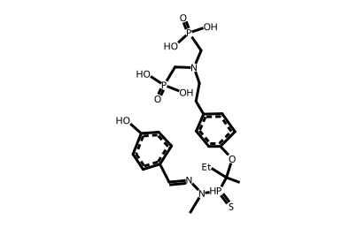 CCC(C)(Oc1ccc(CCN(CP(=O)(O)O)CP(=O)(O)O)cc1)[PH](=S)N(C)/N=C/c1ccc(O)cc1